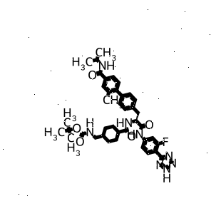 Cc1cc(C(=O)NC(C)C)ccc1-c1ccc(C[C@H](NC(=O)C2CCC(CNC(=O)OC(C)(C)C)CC2)C(=O)Nc2ccc(-c3nn[nH]n3)c(F)c2)cc1